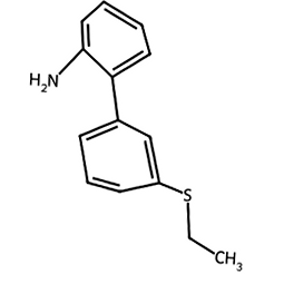 CCSc1cccc(-c2ccccc2N)c1